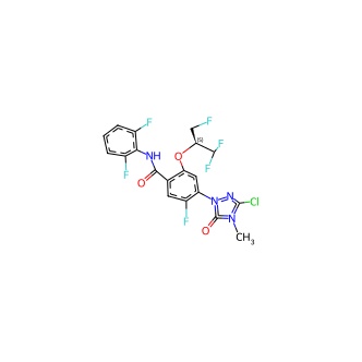 Cn1c(Cl)nn(-c2cc(O[C@@H](CF)C(F)F)c(C(=O)Nc3c(F)cccc3F)cc2F)c1=O